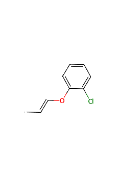 [CH2]C=COc1ccccc1Cl